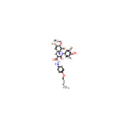 CCCCOc1ccc(NCC(=O)C(Cc2cc(Br)c(OC)c(Br)c2)C(=O)Nc2cc(Br)c(O)c(Br)c2)cc1